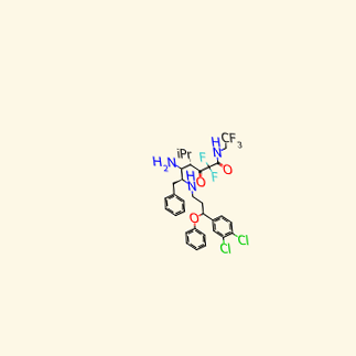 CC(C)[C@H](C(=O)C(F)(F)C(=O)NCC(F)(F)F)C(N)[C@H](Cc1ccccc1)NCCC(Oc1ccccc1)c1ccc(Cl)c(Cl)c1